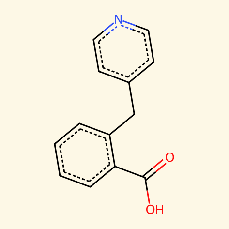 O=C(O)c1ccccc1Cc1ccncc1